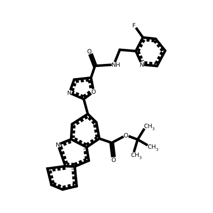 CC(C)(C)OC(=O)c1cc(-c2ncc(C(=O)NCc3ncccc3F)o2)cc2nc3ccccc3cc12